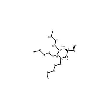 C=CC(=O)OC(CCCCC)N(CCCCC)CCCCC